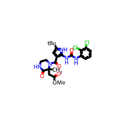 COC(=O)CC1(C)C(=O)NCCN1C(=O)c1cc(C(C)(C)C)[nH]c1NC(=O)Nc1cccc(Cl)c1Cl